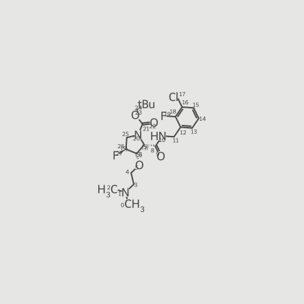 CN(C)CCO[C@H]1[C@@H](C(=O)NCc2cccc(Cl)c2F)N(C(=O)OC(C)(C)C)C[C@@H]1F